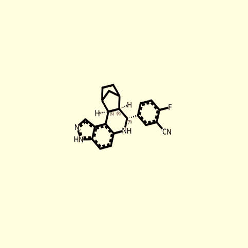 N#Cc1cc([C@@H]2Nc3ccc4[nH]ncc4c3[C@H]3C4CCC(C4)[C@@H]23)ccc1F